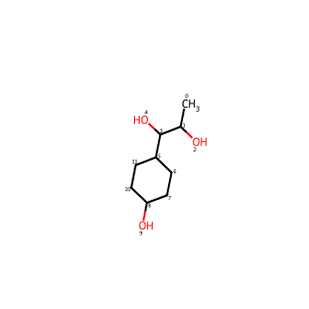 CC(O)C(O)C1CCC(O)CC1